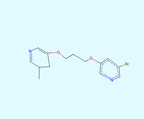 CC1C=NC=C(OCCCOc2cncc(Br)c2)C1